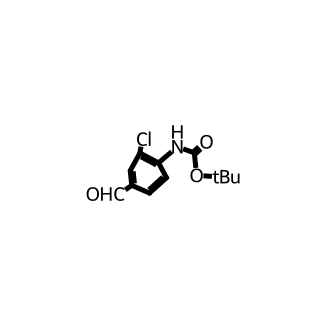 CC(C)(C)OC(=O)Nc1ccc(C=O)cc1Cl